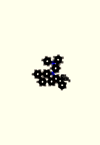 CC1(C)c2ccccc2-c2ccc(N(c3ccc4c5ccccc5n(-c5ccccc5)c4c3)c3ccc(-c4ccccc4-c4ccccc4)cc3-c3ccccc3)cc21